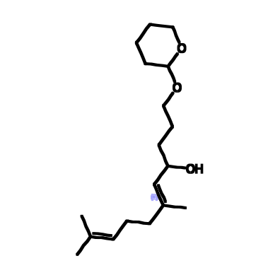 CC(C)=CCC/C(C)=C/C(O)CCCOC1CCCCO1